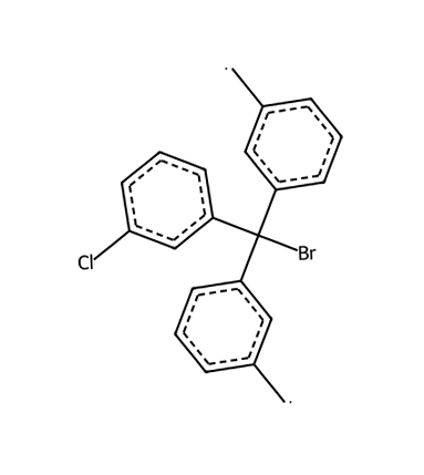 [CH2]c1cccc(C(Br)(c2cccc([CH2])c2)c2cccc(Cl)c2)c1